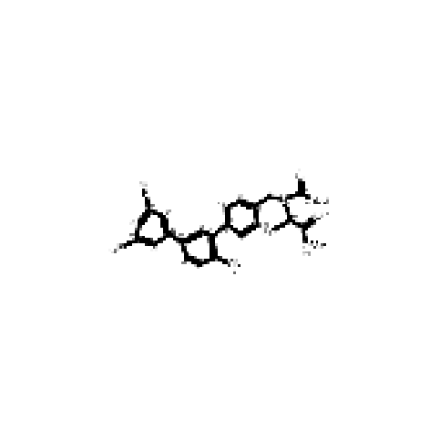 CCCCC(=O)N(Cc1ccc(-c2cc(-c3cc(F)cc(F)c3)ccc2C#N)cc1)C(C(=O)OC)C(C)C